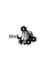 CSCC(C)c1ncn(Cc2ccc(-c3ccccc3S(=O)(=O)NC(=O)NCc3ccccc3)cc2)c1C=O